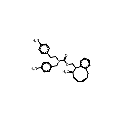 C=C1/C=C\C=C/Cc2ccccc2C1COC(=O)N(CCc1ccc(N)cc1)Cc1ccc(N)cc1